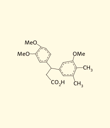 COc1ccc(C(CC(=O)O)c2cc(C)c(C)c(OC)c2)cc1OC